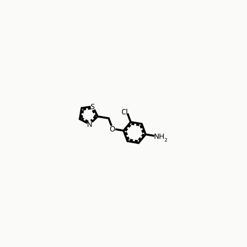 Nc1ccc(OCc2nccs2)c(Cl)c1